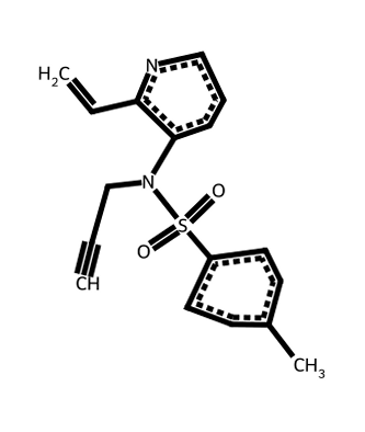 C#CCN(c1cccnc1C=C)S(=O)(=O)c1ccc(C)cc1